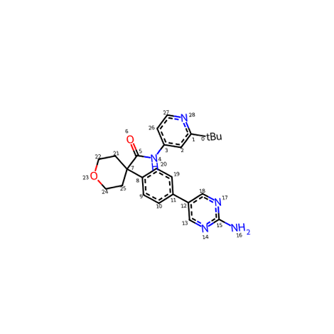 CC(C)(C)c1cc(NC(=O)C2(c3ccc(-c4cnc(N)nc4)cc3)CCOCC2)ccn1